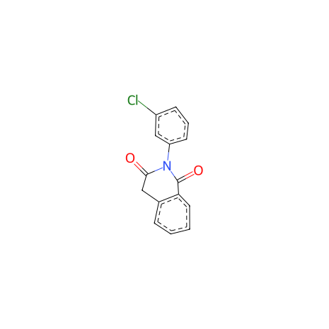 O=C1Cc2ccccc2C(=O)N1c1cccc(Cl)c1